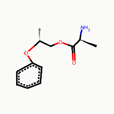 C[C@H](COC(=O)[C@H](C)N)Oc1ccccc1